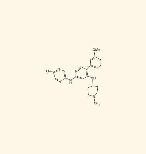 COc1cccc(-c2cnc(Nc3cnc(N)cn3)cc2NC2CCN(C)CC2)c1